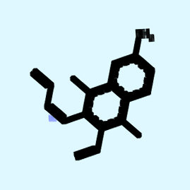 Bc1ccc2c(C)c(C=C)c(/C=C\C=C)c(C)c2c1